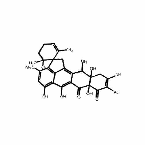 COc1cc(O)c2c(O)c3c(c4c2c1C1(C4)C(C)=CCCC1(C)C)C(O)C1(O)CC(O)=C(C(C)=O)C(=O)C1(O)C3=O